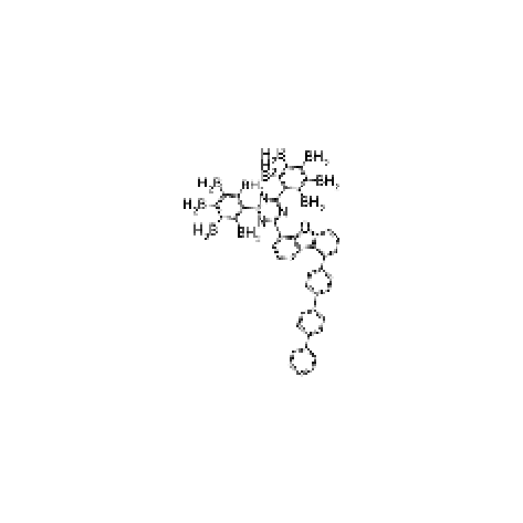 Bc1c(B)c(B)c(-c2nc(-c3c(B)c(B)c(B)c(B)c3B)nc(-c3cccc4c3oc3cccc(-c5ccc(-c6ccc(-c7ccccc7)cc6)cc5)c34)n2)c(B)c1B